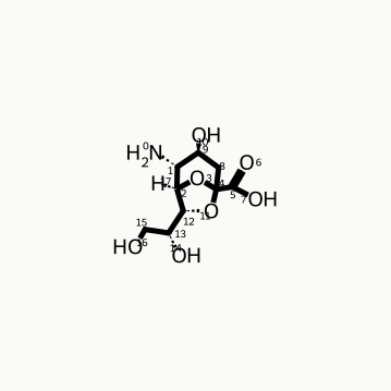 N[C@H]1[C@H]2OC(C(=O)O)(C[C@@H]1O)O[C@@H]2[C@H](O)CO